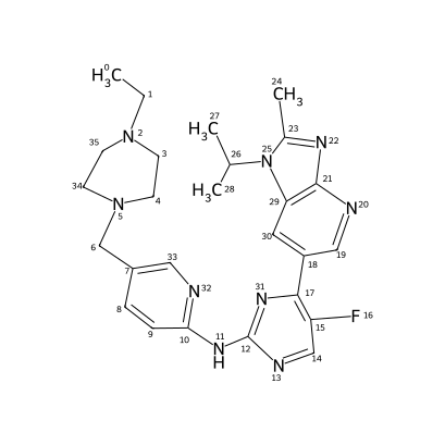 CCN1CCN(Cc2ccc(Nc3ncc(F)c(-c4cnc5nc(C)n(C(C)C)c5c4)n3)nc2)CC1